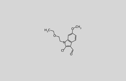 CCOCCn1c(Cl)c(C=O)c2ccc(OC)cc21